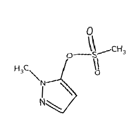 Cn1nccc1OS(C)(=O)=O